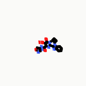 Cn1c(-c2nc3ccccc3n2C2CCC2)nc(C(=O)Nc2cnoc2)c(O)c1=O